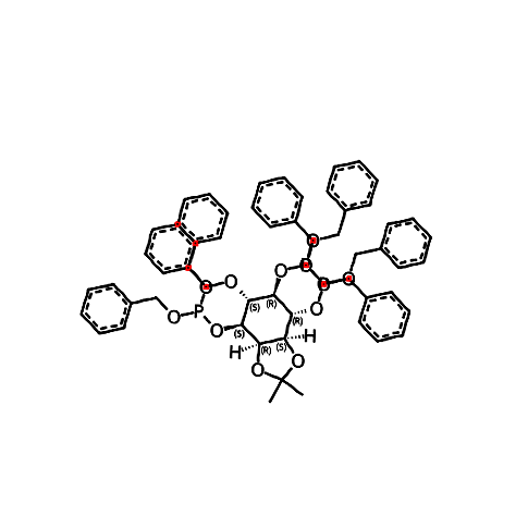 CC1(C)O[C@@H]2[C@@H](OP(OCc3ccccc3)OCc3ccccc3)[C@H](OP(OCc3ccccc3)OCc3ccccc3)[C@@H](OCc3ccccc3)[C@H](OP(OCc3ccccc3)OCc3ccccc3)[C@@H]2O1